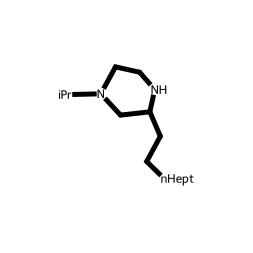 CCCCCCCCCC1CN(C(C)C)CCN1